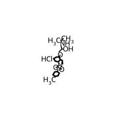 Cc1ccc(S(=O)(=O)n2ccc3c(OCC(O)CNC(C)C)cccc32)cc1.Cl